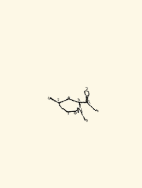 CC(=O)C1C[C@H](C)CN1C